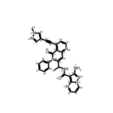 CC(NC(=O)c1c(N)nn2cccnc12)c1cc2nccc(C#Cc3cnn(C)c3)c2c(=O)n1-c1ccccc1